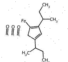 CCC(C)C1=CC(C(C)CC)=[C]([Fe])C1.[C]=O.[C]=O.[C]=O